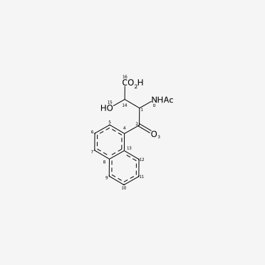 CC(=O)NC(C(=O)c1cccc2ccccc12)C(O)C(=O)O